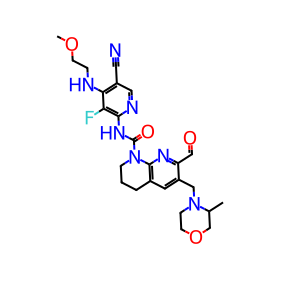 COCCNc1c(C#N)cnc(NC(=O)N2CCCc3cc(CN4CCOCC4C)c(C=O)nc32)c1F